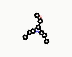 c1ccc(-c2ccc3cc4c5cc(-c6ccc7oc8ccccc8c7c6)cc6c7cc8ccc(-c9ccccc9)cc8cc7n(c4cc3c2)c56)cc1